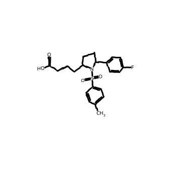 Cc1ccc(S(=O)(=O)N2C(CCCC(=O)O)CCC2c2ccc(F)cc2)cc1